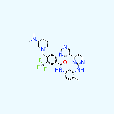 Cc1ccc(NC(=O)c2ccc(CN3CCCC(N(C)C)C3)c(C(F)(F)F)c2)cc1Nc1nccc(-c2cncnc2)n1